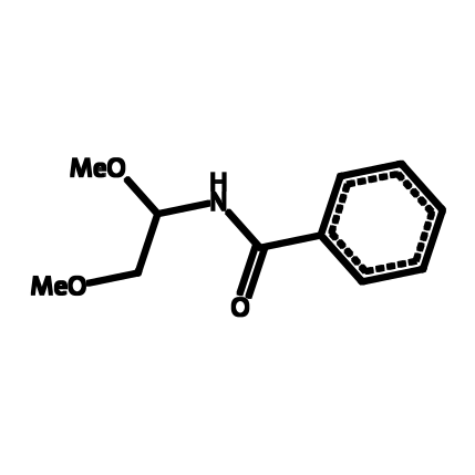 COCC(NC(=O)c1ccccc1)OC